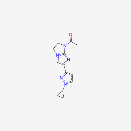 CC(=O)N1CCn2cc(-c3ccn(C4CC4)n3)nc21